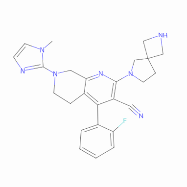 Cn1ccnc1N1CCc2c(nc(N3CCC4(CNC4)C3)c(C#N)c2-c2ccccc2F)C1